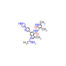 Cc1cc(C)c(CNC(=O)c2cc(-c3ccc(N4CCNCC4)nc3)cc3c2c(C)cn3CC(C)N)c(=O)[nH]1